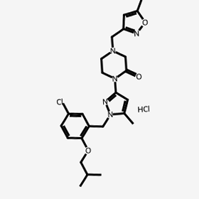 Cc1cc(CN2CCN(c3cc(C)n(Cc4cc(Cl)ccc4OCC(C)C)n3)C(=O)C2)no1.Cl